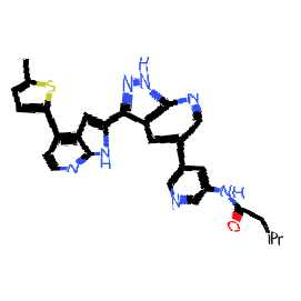 Cc1ccc(-c2ccnc3[nH]c(-c4n[nH]c5ncc(-c6cncc(NC(=O)CC(C)C)c6)cc45)cc23)s1